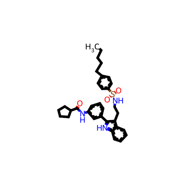 CCCCCc1ccc(S(=O)(=O)NCCc2c(-c3cccc(NC(=O)C4CCCC4)c3)[nH]c3ccccc23)cc1